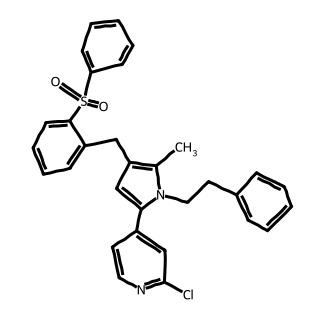 Cc1c(Cc2ccccc2S(=O)(=O)c2ccccc2)cc(-c2ccnc(Cl)c2)n1CCc1ccccc1